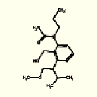 [CH2]CCN(C(N)=O)c1cccc(C(COC)C(C)C)c1CO